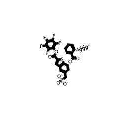 O=C(Oc1c(F)c(F)c(F)c(F)c1F)c1cc2cc(CP(=O)([O-])[O-])ccc2s1.O=C([O-])c1ccccc1.[Ag+].[Ag+].[Ag+]